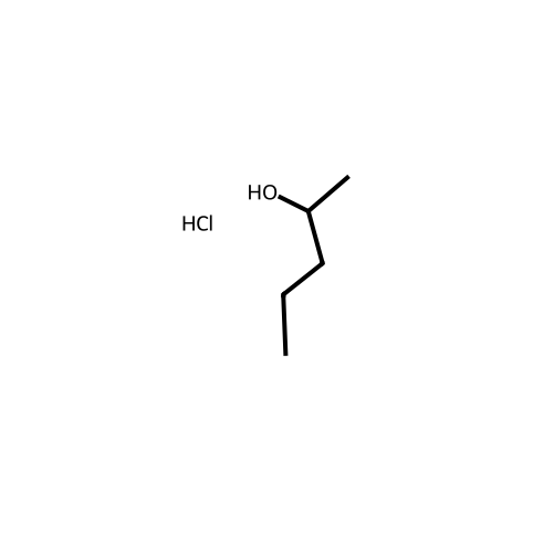 CCCC(C)O.Cl